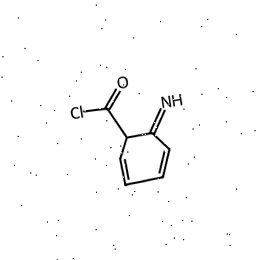 N=C1C=CC=CC1C(=O)Cl